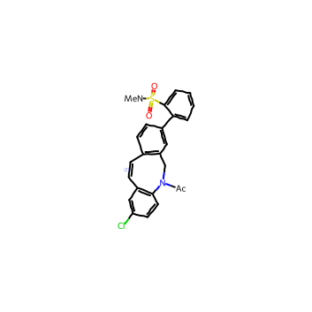 CNS(=O)(=O)c1ccccc1-c1ccc2c(c1)CN(C(C)=O)c1ccc(Cl)cc1/C=C\2